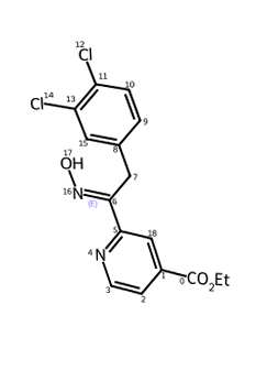 CCOC(=O)c1ccnc(/C(Cc2ccc(Cl)c(Cl)c2)=N/O)c1